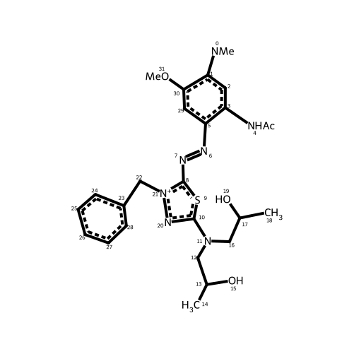 CNc1cc(NC(C)=O)c(N=Nc2sc(N(CC(C)O)CC(C)O)n[n+]2Cc2ccccc2)cc1OC